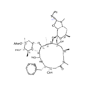 CO[C@]1(C)C[C@H](O[C@H]2[C@H](C)[C@@H](O[C@@H]3O[C@H](C)CC4C3O/C(=N/C(C)C)N4C)[C@](C)(O)C[C@@H](C)CN(C)C(=O)C[C@H](O)[C@H](Cc3ccccc3)NC(O)[C@@H]2C)O[C@@H](C)[C@@H]1O